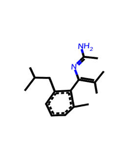 CC(C)=C(/N=C(\C)N)c1c(C)cccc1CC(C)C